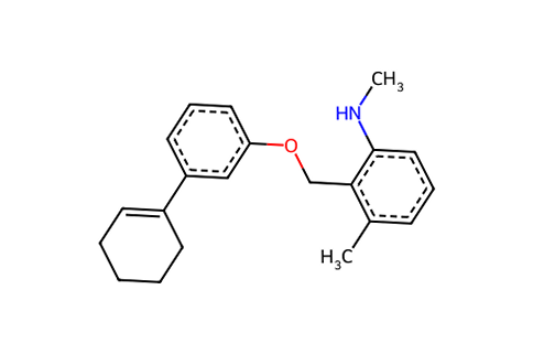 CNc1cccc(C)c1COc1cccc(C2=CCCCC2)c1